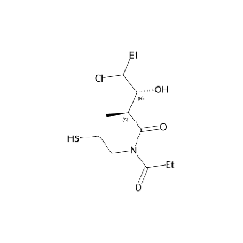 CCC(=O)N(CCS)C(=O)[C@@H](C)[C@@H](O)C(Cl)CC